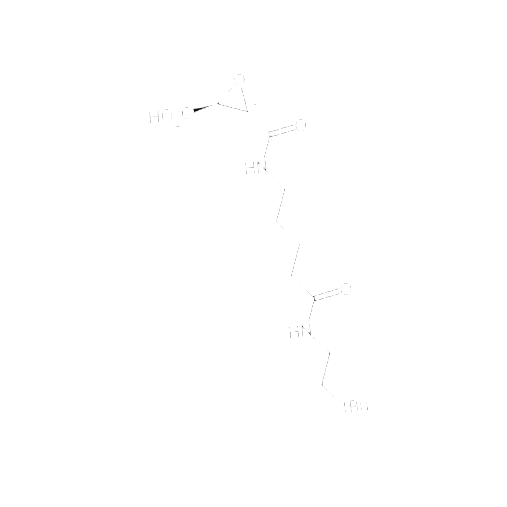 CC(C)(C)CCNC(=O)CCCCNC(=O)[C@H]1O[C@@H]1C(=O)O